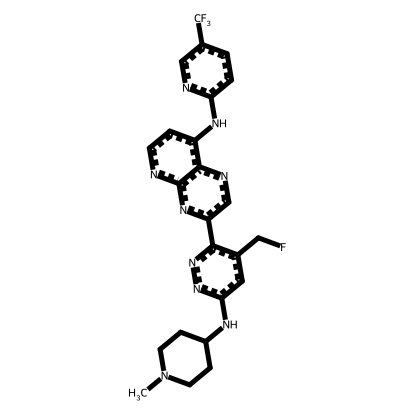 CN1CCC(Nc2cc(CF)c(-c3cnc4c(Nc5ccc(C(F)(F)F)cn5)ccnc4n3)nn2)CC1